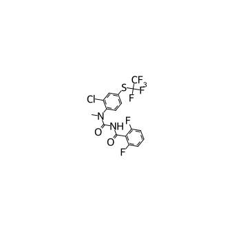 CN(C(=O)NC(=O)c1c(F)cccc1F)c1ccc(SC(F)(F)C(F)(F)F)cc1Cl